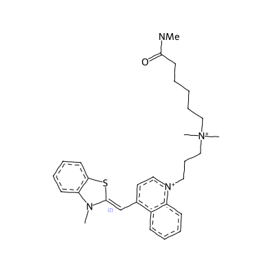 CNC(=O)CCCCC[N+](C)(C)CCC[n+]1ccc(/C=C2\Sc3ccccc3N2C)c2ccccc21